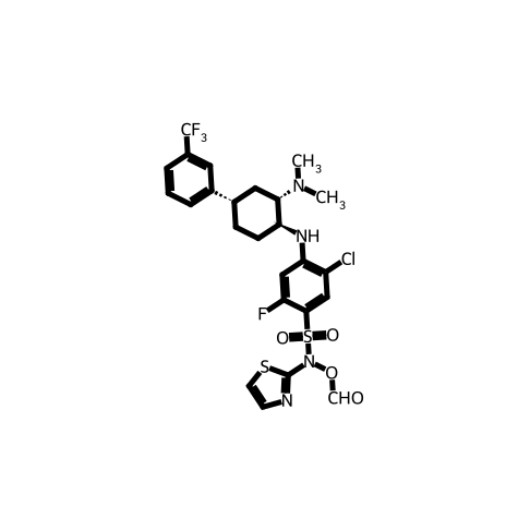 CN(C)[C@H]1C[C@@H](c2cccc(C(F)(F)F)c2)CC[C@@H]1Nc1cc(F)c(S(=O)(=O)N(OC=O)c2nccs2)cc1Cl